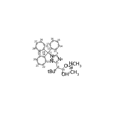 C[SiH](C)OC(O)C(c1ncn(C(c2ccccc2)(c2ccccc2)c2ccccc2)n1)C(C)(C)C